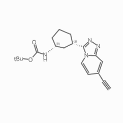 C#Cc1ccn2c([C@H]3CCC[C@@H](NC(=O)OC(C)(C)C)C3)nnc2c1